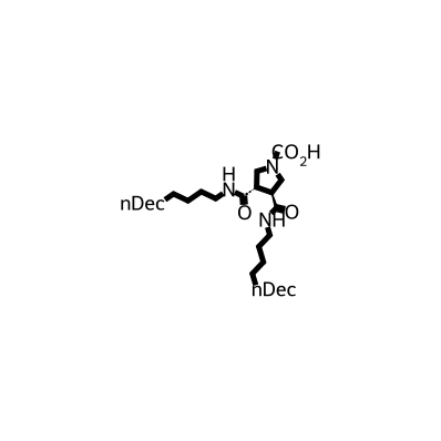 CCCCCCCCCCCCCCNC(=O)[C@@H]1CN(C(=O)O)C[C@H]1C(=O)NCCCCCCCCCCCCCC